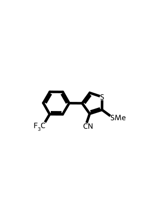 CSc1scc(-c2cccc(C(F)(F)F)c2)c1C#N